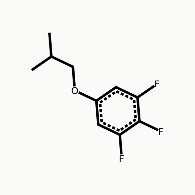 CC(C)COc1[c]c(F)c(F)c(F)c1